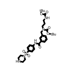 CC(C)(C)OC(=O)NCCCN(Cc1cccc(C(=O)Nc2ccc(S(=O)(=O)N3CCNCC3)cc2)c1)C(=O)OC(C)(C)C